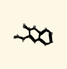 O=COc1cc2ccccc2oc1=O